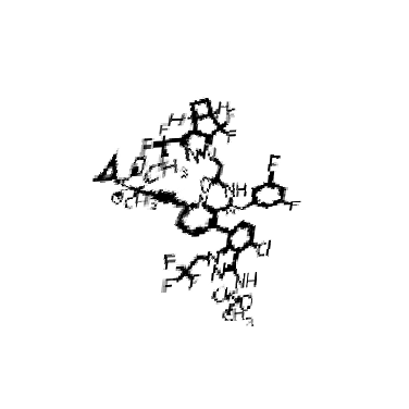 CC(C)(C#Cc1ccc(-c2ccc(Cl)c3c(NS(C)(=O)=O)nn(CC(F)(F)F)c23)c([C@H](Cc2cc(F)cc(F)c2)NC(=O)Cn2nc(C(F)(F)F)c3c2C(F)(F)[C@@H]2CC[C@H]32)n1)S(=O)(=O)C1CC1